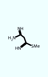 CSC(=N)CC(=N)N